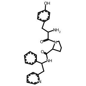 NC(Cc1ccc(O)cc1)C(=O)N1CCCC1C(=O)NC(Cc1ccccn1)c1ccccc1